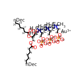 CCCCCCCCCCCCCCCC(=O)OC[C@H](CO)OC(=O)CCCCCCCCCCCCCCC.C[N+](C)(C)CCOP(=O)([O-])[O-].C[N+](C)(C)CCOP(=O)([O-])[O-].C[N+](C)(C)CCOP(=O)([O-])[O-].[Au+3]